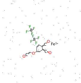 F[B-](F)(F)F.F[B-](F)(F)F.O=C=COc1ccc(=C=O)c(=C=O)c1.[Fe+2]